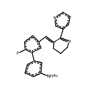 CC(=O)Nc1cccc(-c2cc(C=C3CCCN=C3c3cccnc3)ccc2F)c1